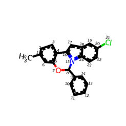 Cc1ccc2c(c1)OC(c1ccccc1)n1c-2cc2cc(Cl)ccc21